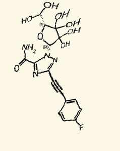 NC(=O)c1nc(C#Cc2ccc(F)cc2)nn1[C@@H]1O[C@H](C(O)O)C(O)(O)C1(O)O